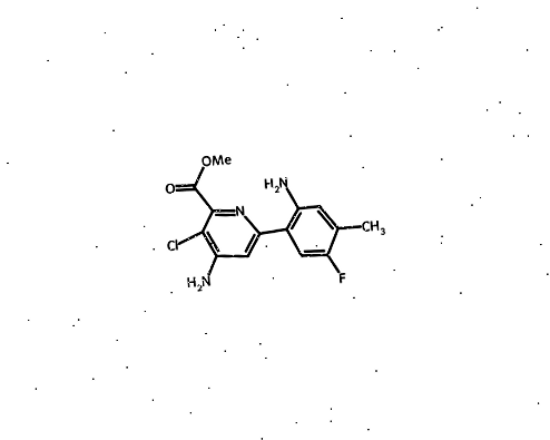 COC(=O)c1nc(-c2cc(F)c(C)cc2N)cc(N)c1Cl